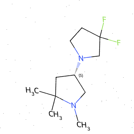 CN1C[C@@H](N2CCC(F)(F)C2)CC1(C)C